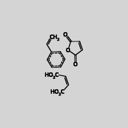 C=Cc1ccccc1.O=C(O)/C=C\C(=O)O.O=C1C=CC(=O)O1